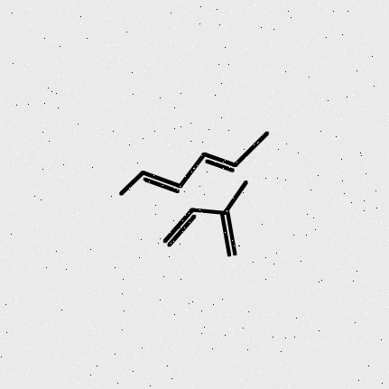 C=CC(=C)C.CC=CC=CC